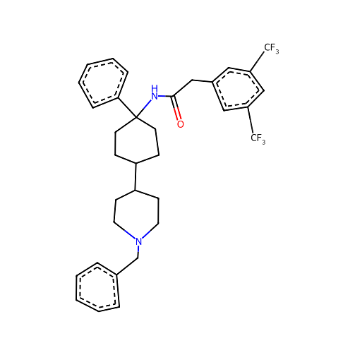 O=C(Cc1cc(C(F)(F)F)cc(C(F)(F)F)c1)NC1(c2ccccc2)CCC(C2CCN(Cc3ccccc3)CC2)CC1